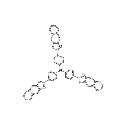 c1ccc2cc3oc(-c4ccc(N(c5ccc(-c6cc7cc8ccccc8cc7o6)cc5)c5ccc(-c6cc7cc8ccccc8cc7o6)cc5)cc4)cc3cc2c1